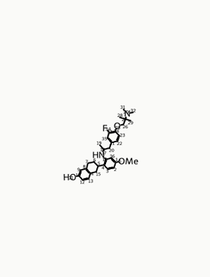 COc1ccc(C2CCc3cc(O)ccc3C2)c(NC(C)Cc2ccc(OCC(C)(C)N(C)C)c(F)c2)c1